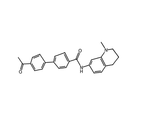 CC(=O)c1ccc(-c2ccc(C(=O)Nc3ccc4c(c3)N(C)CCC4)cc2)cc1